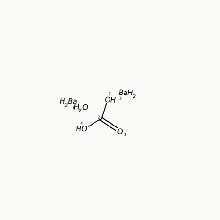 O.O=C(O)O.[BaH2].[BaH2]